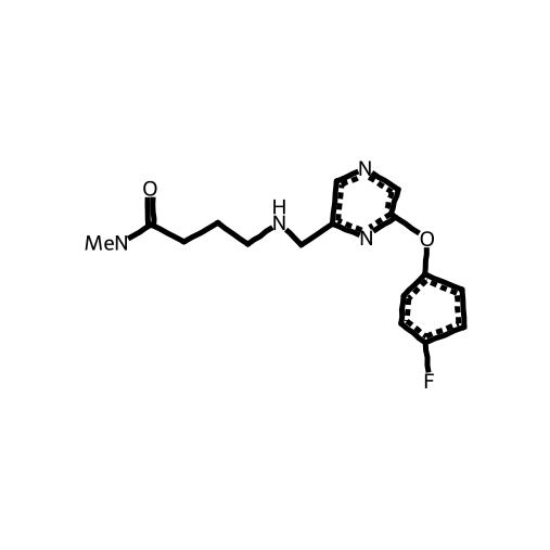 CNC(=O)CCCNCc1cncc(Oc2ccc(F)cc2)n1